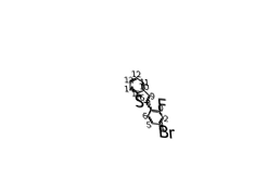 Fc1cc(Br)ccc1-c1cc2ccccc2s1